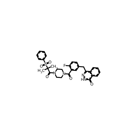 CC(C)(C(=O)N1CCN(C(=O)c2cc(Cc3n[nH]c(=O)c4ccccc34)ccc2F)CC1)S(=O)(=O)c1ccccc1